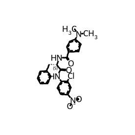 CN(C)c1ccc(C(=O)N[C@@H](Cc2ccccc2)C(=O)Nc2ccc([N+](=O)[O-])cc2Cl)cc1